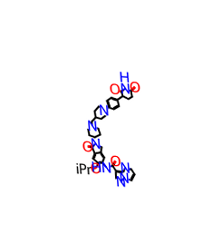 CC(C)Oc1cc2c(cc1NC(=O)c1cnn3cccnc13)CN(C1CCN(CC3CCN(c4ccc(C5CCC(=O)NC5=O)cc4)CC3)CC1)C2=O